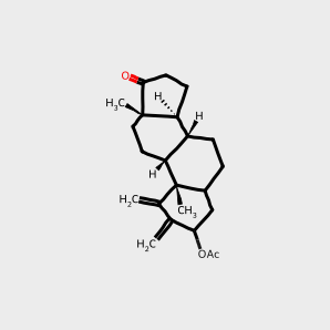 C=C1C(=C)[C@@]2(C)C(CC[C@@H]3[C@H]2CC[C@]2(C)C(=O)CC[C@@H]32)CC1OC(C)=O